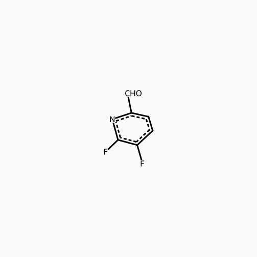 O=Cc1ccc(F)c(F)n1